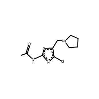 CC(=O)Nc1nc(Cl)c(CN2CCCC2)s1